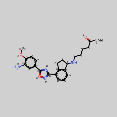 COC(=O)CCCCNC1CCc2c(-c3noc(-c4ccc(OC(C)C)c(N)c4)n3)cccc21